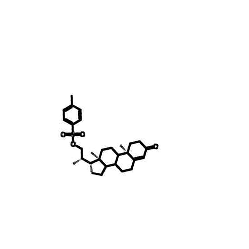 Cc1ccc(S(=O)(=O)OC[C@@H](C)[C@H]2CCC3C4CCC5=CC(=O)CC[C@]5(C)C4CC[C@@]32C)cc1